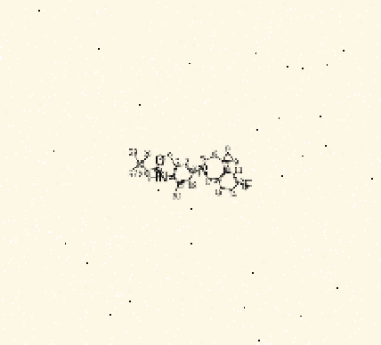 Cc1cc(N2CCC3(CC3)c3cc(F)ccc3C2)cc(C)c1NC(=O)CC(C)(C)C